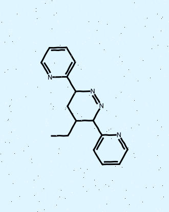 CCC1CC(c2ccccn2)N=NC1c1ccccn1